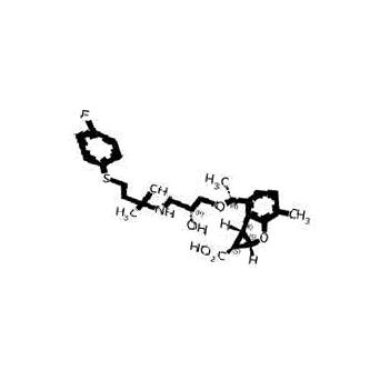 Cc1ccc([C@@H](C)OC[C@H](O)CNC(C)(C)CCSc2ccc(F)cc2)c2c1O[C@@H]1[C@@H](C(=O)O)[C@H]21